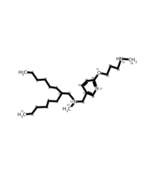 CCCCCCC(CCCCCC)CN(C)Cc1ccc(OCCCNC)nc1